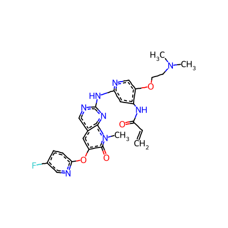 C=CC(=O)Nc1cc(Nc2ncc3cc(Oc4ccc(F)cn4)c(=O)n(C)c3n2)ncc1OCCN(C)C